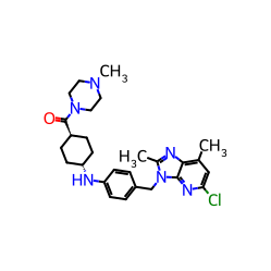 Cc1cc(Cl)nc2c1nc(C)n2Cc1ccc(N[C@H]2CC[C@H](C(=O)N3CCN(C)CC3)CC2)cc1